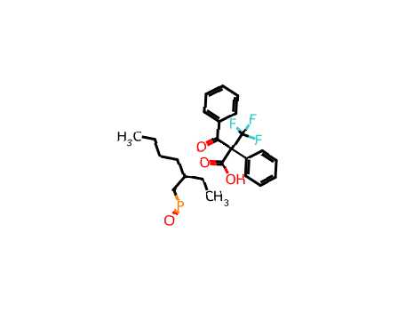 CCCCC(CC)CP=O.O=C(O)C(C(=O)c1ccccc1)(c1ccccc1)C(F)(F)F